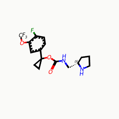 O=C(NC[C@@H]1CCCN1)OC1(c2ccc(F)c(OC(F)(F)F)c2)CC1